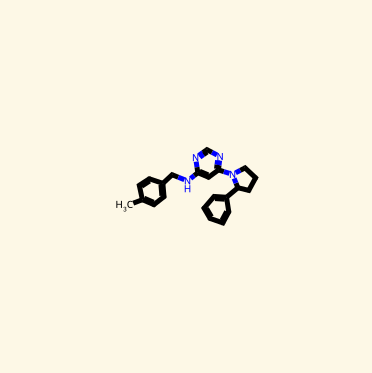 Cc1ccc(CNc2cc(N3CCCC3c3ccccc3)ncn2)cc1